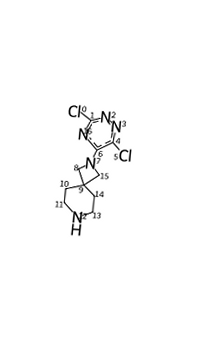 Clc1nnc(Cl)c(N2CC3(CCNCC3)C2)n1